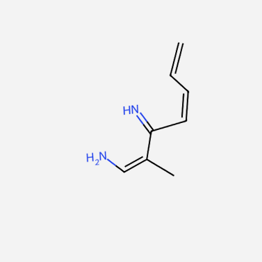 C=C/C=C\C(=N)/C(C)=C\N